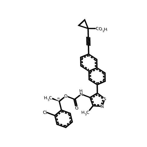 Cc1nsc(-c2ccc3cc(C#CC4(C(=O)O)CC4)ccc3c2)c1NC(=O)O[C@H](C)c1ccccc1Cl